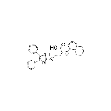 O=C(O)C(CCSc1nc(-c2ccccc2)c(-c2ccccc2)[nH]1)Oc1cccc2c1CCCC2